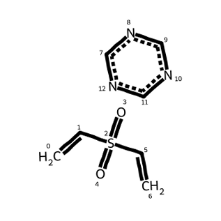 C=CS(=O)(=O)C=C.c1ncncn1